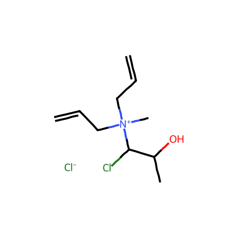 C=CC[N+](C)(CC=C)C(Cl)C(C)O.[Cl-]